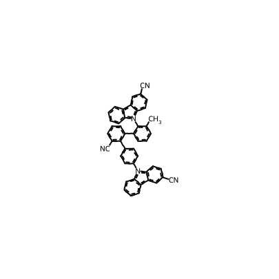 Cc1cccc(-c2cccc(C#N)c2-c2ccc(-n3c4ccccc4c4cc(C#N)ccc43)cc2)c1-n1c2ccccc2c2cc(C#N)ccc21